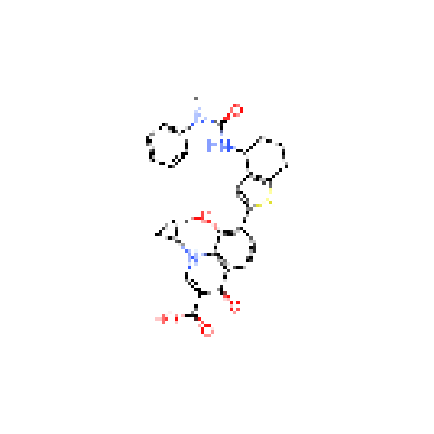 COc1c(-c2cc3c(s2)CCCC3NC(=O)N(C)c2ccccc2)ccc2c(=O)c(C(=O)O)cn(C3CC3)c12